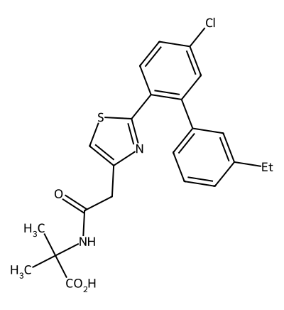 CCc1cccc(-c2cc(Cl)ccc2-c2nc(CC(=O)NC(C)(C)C(=O)O)cs2)c1